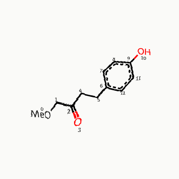 COCC(=O)CCc1ccc(O)cc1